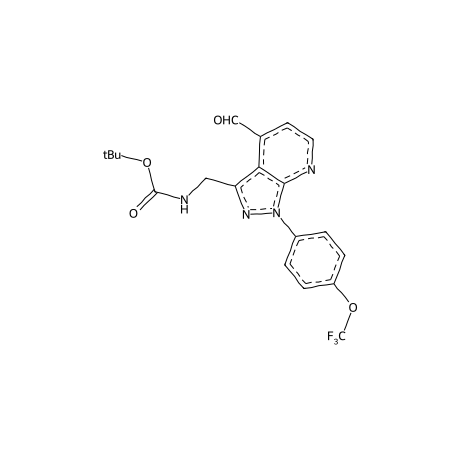 CC(C)(C)OC(=O)NCc1nn(-c2ccc(OC(F)(F)F)cc2)c2nccc(C=O)c12